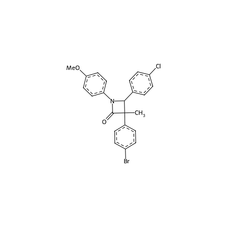 COc1ccc(N2C(=O)C(C)(c3ccc(Br)cc3)C2c2ccc(Cl)cc2)cc1